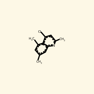 Cc1cc(C)c2c(Cl)cc(C)nc2c1